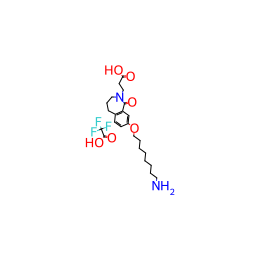 NCCCCCCCCOc1ccc2c(c1)C(=O)N(CCC(=O)O)CCC2.O=C(O)C(F)(F)F